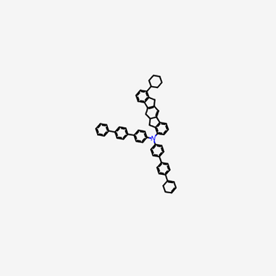 C1=CCCC(c2ccc(-c3ccc(N(c4ccc(-c5ccc(-c6ccccc6)cc5)cc4)c4cccc5c4CC4CC6=C(C=C54)Cc4c6cccc4C4CCCCC4)cc3)cc2)=C1